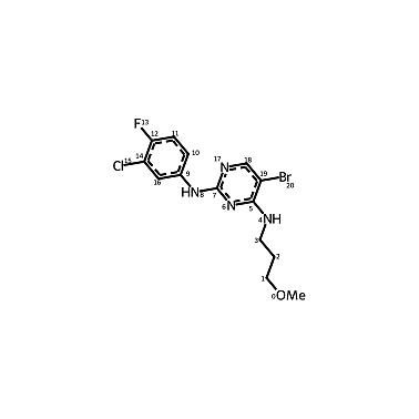 COCCCNc1nc(Nc2ccc(F)c(Cl)c2)ncc1Br